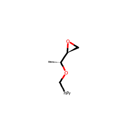 CCCCO[C@H](C)[C@@H]1CO1